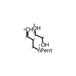 C=CCCCCCCC.OCCO